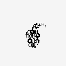 Cc1ccc(NC(=O)c2ccc(CN3CCN(C)CC3)cc2)cc1Nc1nccc(-c2cccnc2)n1.O=C(O)/C=C\C(=O)O